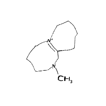 CN1CCC[N+]2=C1CCCC2